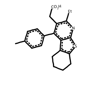 CCc1nc2sc3c(c2c(-c2ccc(C)cc2)c1CC(=O)O)CCCC3